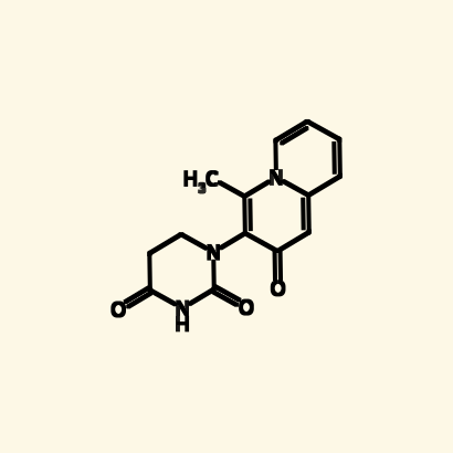 Cc1c(N2CCC(=O)NC2=O)c(=O)cc2ccccn12